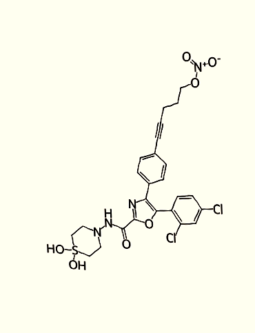 O=C(NN1CCS(O)(O)CC1)c1nc(-c2ccc(C#CCCCO[N+](=O)[O-])cc2)c(-c2ccc(Cl)cc2Cl)o1